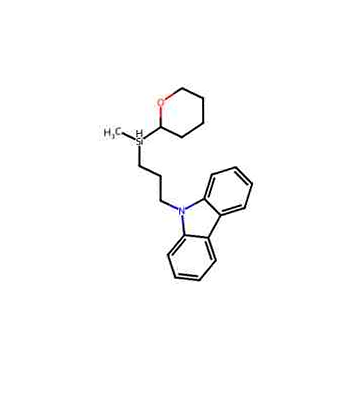 C[SiH](CCCn1c2ccccc2c2ccccc21)C1CCCCO1